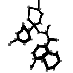 CN1CCC(CN(C)C(=O)c2ccc(Br)c3ccccc23)(c2ccc(F)cc2)CC1